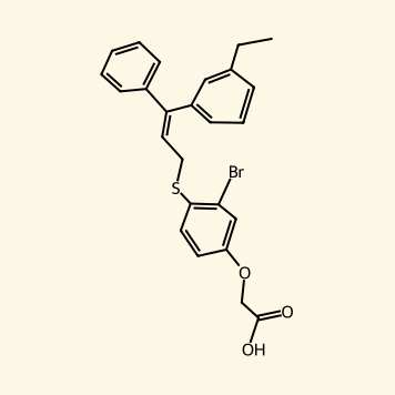 CCc1cccc(/C(=C\CSc2ccc(OCC(=O)O)cc2Br)c2ccccc2)c1